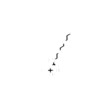 CC(C)(C)OC(=O)NCCOCCOCCI